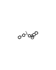 CCC(c1ccc(-c2ccccc2)cc1)c1ccc2oc3cc4ccccc4cc3c2c1